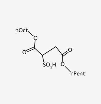 CCCCCCCCOC(=O)C(CC(=O)OCCCCC)S(=O)(=O)O